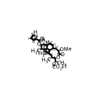 CCOC(=O)O[C@H](C)[C@H]1OC(=O)[C@@H](OC)CC2C=C[C@H]3[C@H]4O[C@]2(/C(C)=C/[C@H]1C)[C@@H]3[C@H](O)[C@@H](C)[C@H]4OC(=O)c1ccc[nH]1